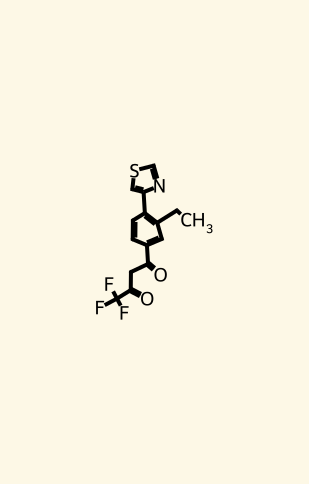 CCc1cc(C(=O)CC(=O)C(F)(F)F)ccc1-c1cscn1